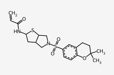 C=CC(=O)NC1CC2CN(S(=O)(=O)c3ccc4c(c3)CCC(C)(C)O4)CC2S1